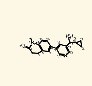 CN1C(=O)CCc2cc(-c3cncc(C(N)C4CC4)c3)ccc21